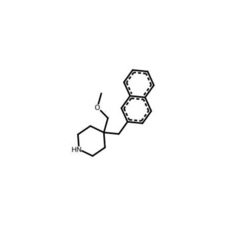 COCC1(Cc2ccc3ccccc3c2)CCNCC1